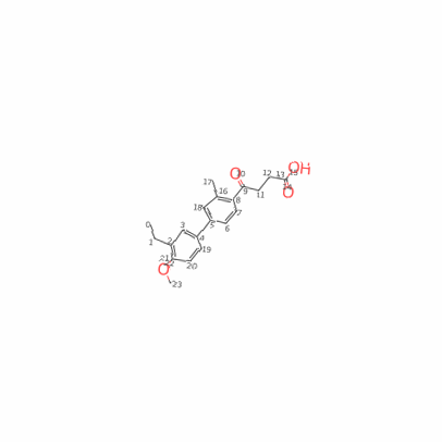 CCc1cc(-c2ccc(C(=O)CCC(=O)O)c(C)c2)ccc1OC